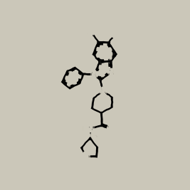 Cc1cc2nc(N3CCC(C(=O)N[C@H]4CCOC4)CC3)n(-c3ccccc3)c2cc1Cl